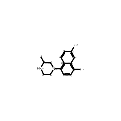 CC1CN(c2ccc(I)c3cc(F)ccc23)CCN1